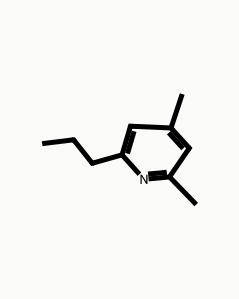 CCCc1cc(C)cc(C)n1